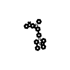 CC1(C)c2ccccc2-c2cc3c4cc(-c5ccc(N(c6cccc(-c7ccccc7)c6)c6cccc7c6oc6ccccc67)cc5)ccc4n(-c4ccccc4)c3cc21